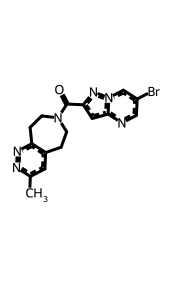 Cc1cc2c(nn1)CCN(C(=O)c1cc3ncc(Br)cn3n1)CC2